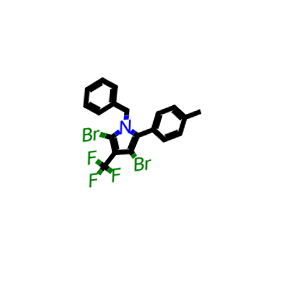 Cc1ccc(-c2c(Br)c(C(F)(F)F)c(Br)n2Cc2ccccc2)cc1